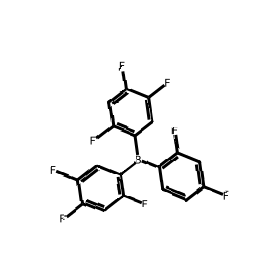 Fc1ccc(B(c2cc(F)c(F)cc2F)c2cc(F)c(F)cc2F)c(F)c1